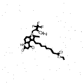 CCOC(=O)CCCCCCCc1c(C)n(CC(O)C(F)(F)F)c2ccc3[nH]c(=O)cc(Cl)c3c12